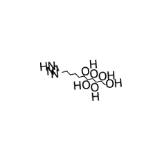 CCCCCC(=O)C(O)C(O)C(O)C(O)CO.c1c[nH]nn1